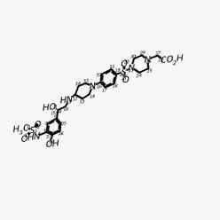 CS(=O)(=O)Nc1cc([C@H](O)CNC2CCN(c3ccc(S(=O)(=O)N4CCN(CC(=O)O)CC4)cc3)CC2)ccc1O